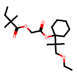 CCOCC(C)(C)C1(OC(=O)COC(=O)C(C)(C)CC)CCCCC1